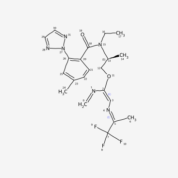 C=N/C(=C\N=C(/C)C(F)(F)F)OC[C@H](C)N(CC)C(=O)c1ccc(C)cc1-n1nccn1